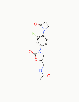 CC(=O)NCC1CN(c2ccc(N3CCC3=O)c(F)c2)C(=O)O1